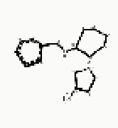 N[C@@H]1CCN([C@H]2CCCCC2OCc2ccccc2)C1